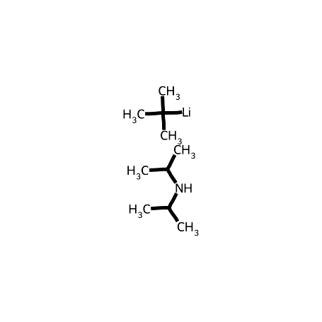 CC(C)NC(C)C.[Li][C](C)(C)C